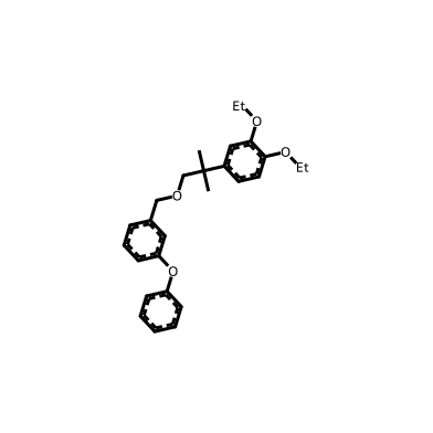 CCOc1ccc(C(C)(C)COCc2cccc(Oc3ccccc3)c2)cc1OCC